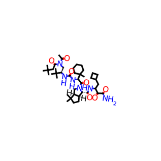 CC(=O)N(C[C@@H](NC(=O)N[C@H](C(=O)N1C[C@H]2[C@H](CCC2(C)C)[C@H]1C(=O)NC(CC1CCC1)C(=O)C(N)=O)C1(C)CCCCC1)C(C)(C)C)C(=O)CC(C)(C)C